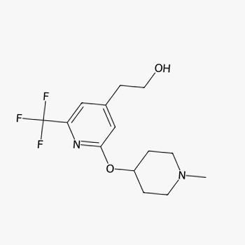 CN1CCC(Oc2cc(CCO)cc(C(F)(F)F)n2)CC1